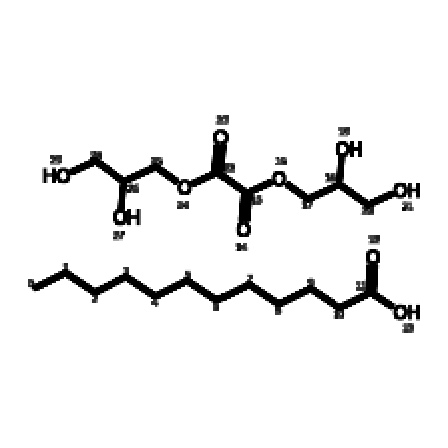 CCCCCCCCCCCC(=O)O.O=C(OCC(O)CO)C(=O)OCC(O)CO